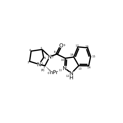 CCC[C@@H]1N2CCC(C2)N1C(=O)c1n[nH]c2ccccc12